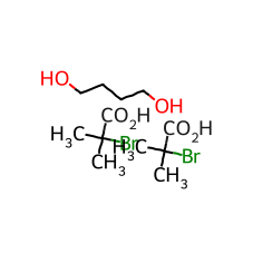 CC(C)(Br)C(=O)O.CC(C)(Br)C(=O)O.OCCCCO